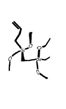 C=CC[Si](C[Si](C)(OC)OC)(OC)OC